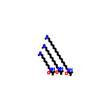 C=C(C)C(=O)NCCCCCCCCCCCCCCCCCCN(C)C.C=C(C)C(=O)NCCCCCCCCCCCCN(C)C.C=C(C)C(=O)NCCCCCCCCN(C)C